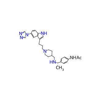 CC(=O)Nc1ccc([C@H](C)NCC2CCN(CCCc3c[nH]c4ccc(-n5cnnc5)cc34)CC2)cc1